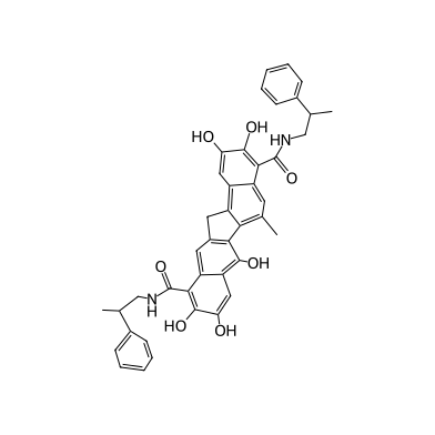 Cc1cc2c(C(=O)NCC(C)c3ccccc3)c(O)c(O)cc2c2c1-c1c(cc3c(C(=O)NCC(C)c4ccccc4)c(O)c(O)cc3c1O)C2